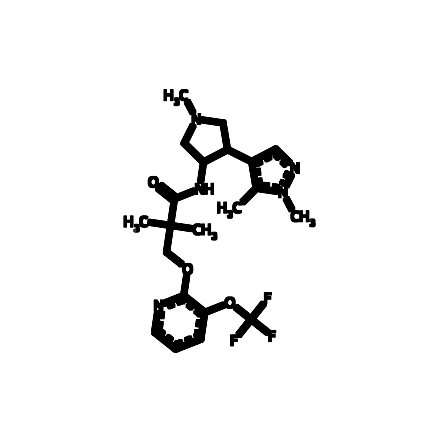 Cc1c(C2CN(C)CC2NC(=O)C(C)(C)COc2ncccc2OC(F)(F)F)cnn1C